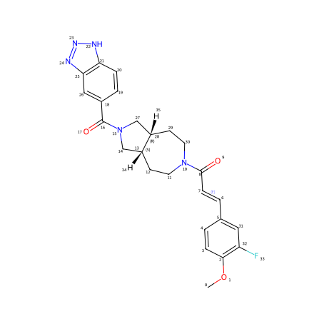 COc1ccc(/C=C/C(=O)N2CC[C@@H]3CN(C(=O)c4ccc5[nH]nnc5c4)C[C@@H]3CC2)cc1F